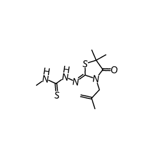 C=C(C)CN1C(=O)C(C)(C)SC1=NNC(=S)NC